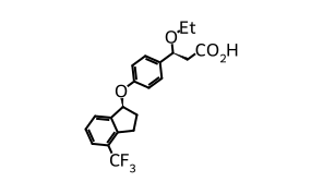 CCO[C@@H](CC(=O)O)c1ccc(O[C@H]2CCc3c2cccc3C(F)(F)F)cc1